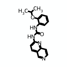 CC(C)Oc1ccccc1NC(=O)Nc1ccc2cnccc2n1